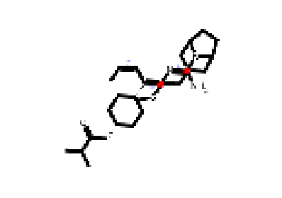 C\C=C/C(=C\N=C(/N)N1C2CCC1CN(CCSC)C2)[C@H]1CC[C@@H](CC(=O)C(C)C)CC1